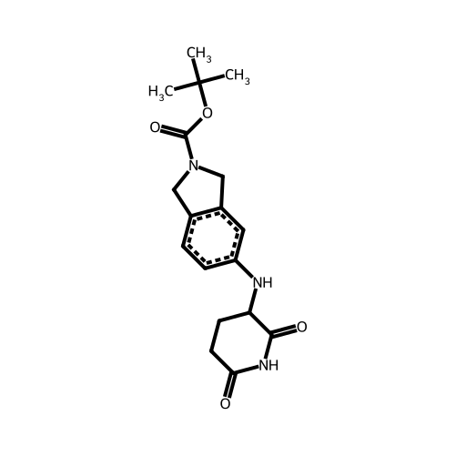 CC(C)(C)OC(=O)N1Cc2ccc(NC3CCC(=O)NC3=O)cc2C1